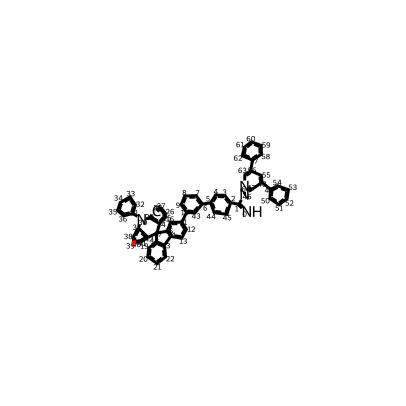 N=C(c1ccc(-c2cccc(-c3ccc4c(c3)C3(c5ccccc5-4)c4ccccc4N(c4ccccc4)c4ccccc43)c2)cc1)N1C2C(c3ccccc3)=CC(c3ccccc3)=CN21